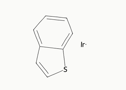 [Ir].c1ccc2sccc2c1